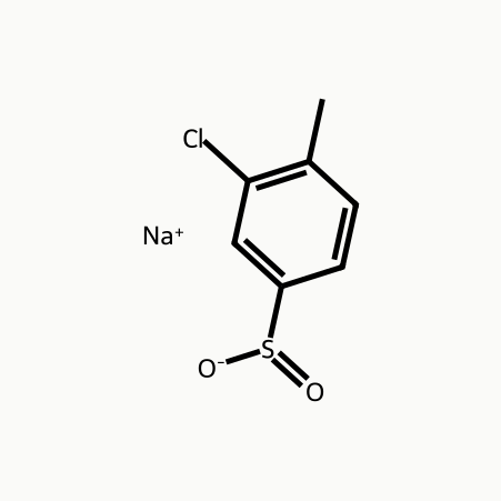 Cc1ccc(S(=O)[O-])cc1Cl.[Na+]